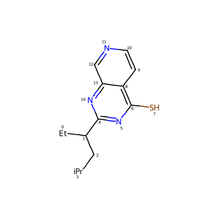 CCC(CC(C)C)c1nc(S)c2ccncc2n1